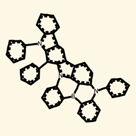 c1ccc(-c2c3c(cc4c5ccc6c7c5n(c24)-c2ccccc2B7c2ccccc2N6c2ccccc2)c2ccccc2n3-c2ccccc2)cc1